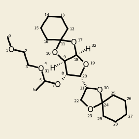 COCCOC(C)O[C@@H]1[C@H]2OC3(CCCCC3)O[C@H]2O[C@@H]1C1COC2(CCCCC2)O1